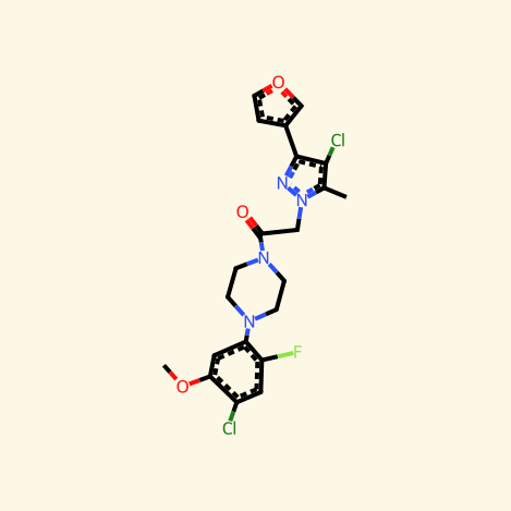 COc1cc(N2CCN(C(=O)Cn3nc(-c4ccoc4)c(Cl)c3C)CC2)c(F)cc1Cl